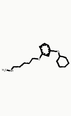 CNCCCCCOc1cccc(OC2CCCCC2)c1